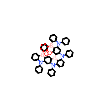 c1ccc(N2c3ccccc3B3c4ccccc4Oc4c3c2cc2c4B3c4c(cccc4N(c4ccccc4)c4cc5c6c(c43)Oc3ccccc3B6c3ccccc3N5c3ccccc3)N2c2ccccc2)cc1